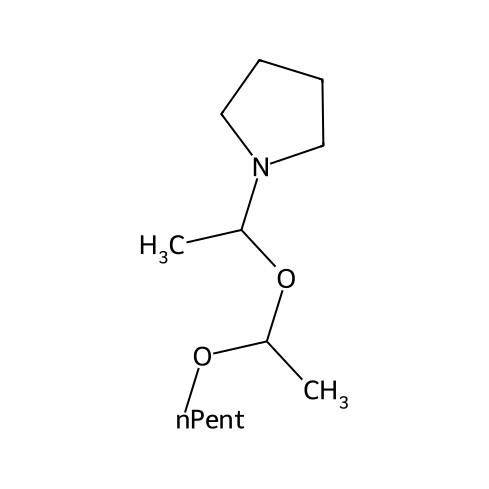 CCCCCOC(C)OC(C)N1CCCC1